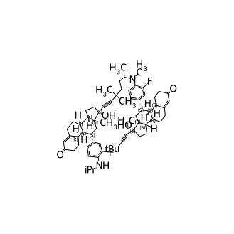 CC(C)Nc1ccc([C@H]2C[C@@]3(C)[C@@H](CC[C@@]3(O)C#CC(C)(C)CCC(C)N(C)c3ccc([C@H]4C[C@@]5(C)[C@@H](CC[C@@]5(O)C#CC(C)(C)C)[C@@H]5CCC6=CC(=O)CC[C@@H]6[C@H]54)cc3F)[C@@H]3CCC4=CC(=O)CC[C@@H]4[C@H]32)cc1F